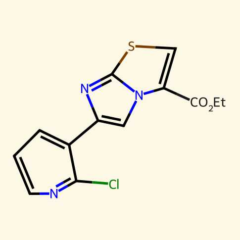 CCOC(=O)c1csc2nc(-c3cccnc3Cl)cn12